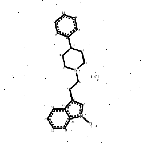 Cl.Cn1cc(CCN2C[CH][C](c3ccccc3)CC2)c2ccccc21